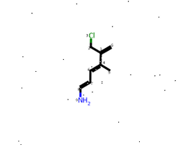 C=C(CCl)/C(C)=C/C=C/N